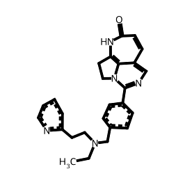 CCN(CCc1ccccn1)Cc1ccc(C2=NC=C3C=CC(=O)NC4=C3N2CC4)cc1